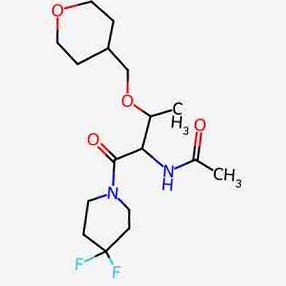 CC(=O)NC(C(=O)N1CCC(F)(F)CC1)C(C)OCC1CCOCC1